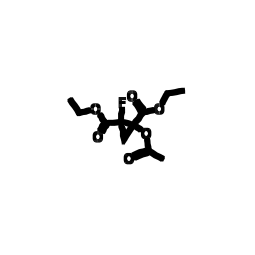 CCOC(=O)C1(F)CC1(OC(C)=O)C(=O)OCC